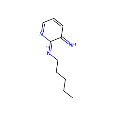 CCCCC/N=C1/N=CC=CC1=N